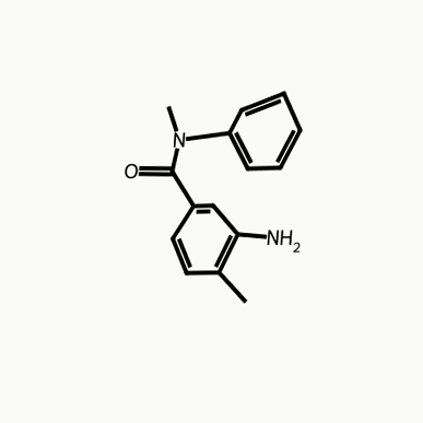 Cc1ccc(C(=O)N(C)c2ccccc2)cc1N